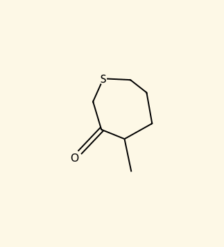 CC1CCCSCC1=O